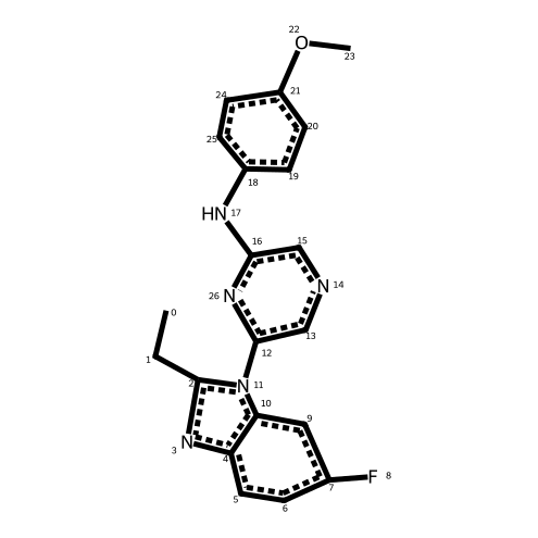 CCc1nc2ccc(F)cc2n1-c1cncc(Nc2ccc(OC)cc2)n1